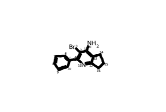 Nc1c(Br)c(-c2ccccc2)nc2c1CCC2